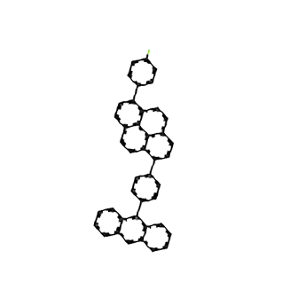 Fc1ccc(-c2ccc3ccc4c(-c5ccc(-c6c7ccccc7cc7ccccc67)cc5)ccc5ccc2c3c54)cc1